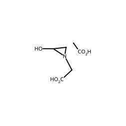 CC(=O)O.O=C(O)CN1CC1O